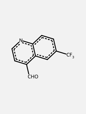 O=Cc1ccnc2ccc(C(F)(F)F)cc12